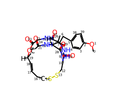 COc1ccc(CC2NC(=O)C3CSSCC/C=C/[C@H](CC(=O)N[C@H](C(C)C)C(=O)N3)OC(=O)CNC2=O)cc1